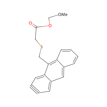 COCOC(=O)CSCc1c2cc#ccc2cc2ccccc12